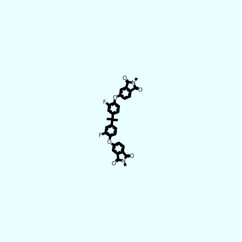 CN1C(=O)c2ccc(Oc3ccc(C(C)(C)c4ccc(Oc5ccc6c(c5)C(=O)N(C)C6=O)c(F)c4)cc3F)cc2C1=O